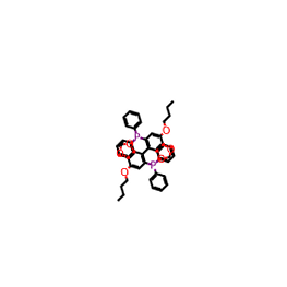 CCCCOc1cc(P(c2ccccc2)c2ccccc2)c(-c2c(P(c3ccccc3)c3ccccc3)cc(OCCCC)c3c2OCO3)c2c1OCO2